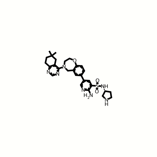 CC1(C)CCc2ncnc(N3CCOc4ccc(-c5cnc(N)c(S(=O)(=O)N[C@@H]6CCNC6)c5)cc4C3)c2C1